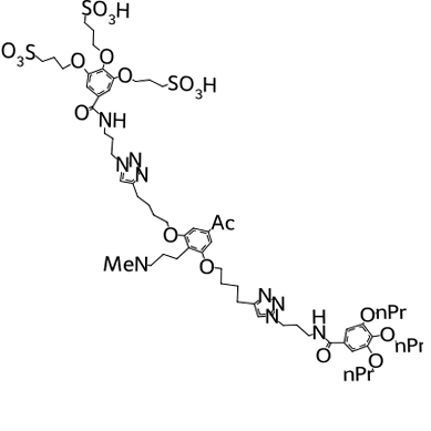 CCCOc1cc(C(=O)NCCCn2cc(CCCCOc3cc(C(C)=O)cc(OCCCCc4cn(CCCNC(=O)c5cc(OCCCS(=O)(=O)O)c(OCCCS(=O)(=O)O)c(OCCCS(=O)(=O)O)c5)nn4)c3CCCNC)nn2)cc(OCCC)c1OCCC